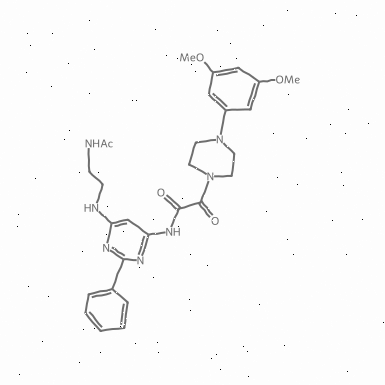 COc1cc(OC)cc(N2CCN(C(=O)C(=O)Nc3cc(NCCNC(C)=O)nc(-c4ccccc4)n3)CC2)c1